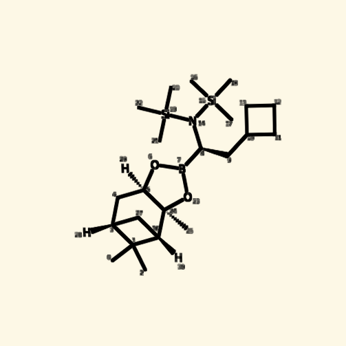 CC1(C)[C@@H]2C[C@H]3OB([C@H](CC4CCC4)N([Si](C)(C)C)[Si](C)(C)C)O[C@@]3(C)[C@H]1C2